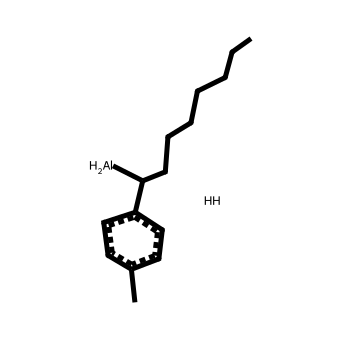 CCCCCCC[CH]([AlH2])c1ccc(C)cc1.[HH]